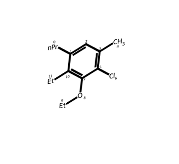 CCCc1cc(C)c(Cl)c(OCC)c1CC